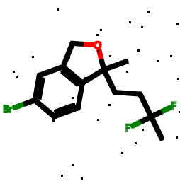 CC(F)(F)CCC1(C)OCc2cc(Br)ccc21